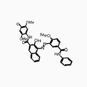 COc1cc(NC(=O)c2cc3ccccc3c(N=Nc3cc(C(=O)Nc4ccccc4)ccc3OC)c2O)c(OC)cc1Cl